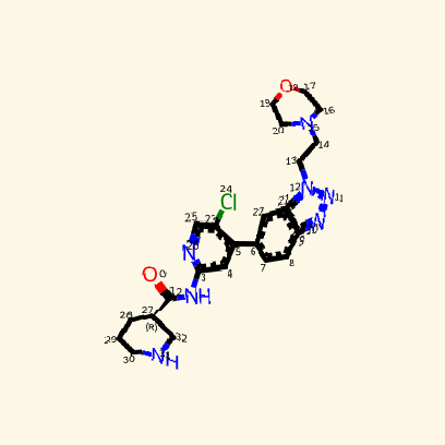 O=C(Nc1cc(-c2ccc3nnn(CCN4CCOCC4)c3c2)c(Cl)cn1)[C@@H]1CCCNC1